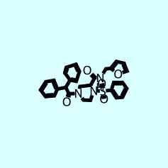 O=C(NCc1ccco1)C1CN(C(=O)C(c2ccccc2)c2ccccc2)CCN1S(=O)(=O)c1ccccc1